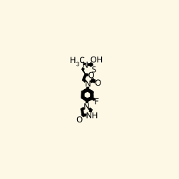 CN(C[C@@H]1CN(c2ccc(N3CNC(=O)C3)c(F)c2)C(=O)O1)C(O)=S